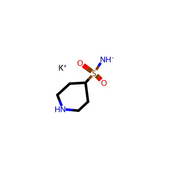 [K+].[NH-]S(=O)(=O)C1CCNCC1